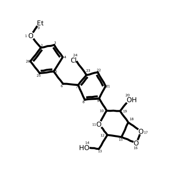 CCOc1ccc(Cc2cc(C3OC(CO)C4OOC4C3O)ccc2Cl)cc1